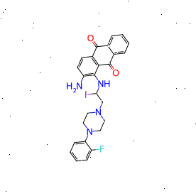 Nc1ccc2c(c1NC(I)CN1CCN(c3ccccc3F)CC1)C(=O)c1ccccc1C2=O